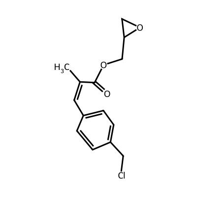 CC(=Cc1ccc(CCl)cc1)C(=O)OCC1CO1